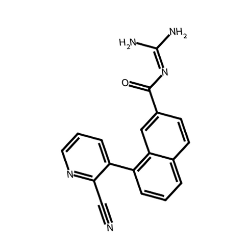 N#Cc1ncccc1-c1cccc2ccc(C(=O)N=C(N)N)cc12